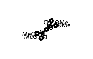 COc1ccc(-c2oc(-c3ccc(-c4nc(-c5ccccc5Cl)c(-c5ccc(OC)c(OC)c5)o4)cc3)nc2-c2ccccc2Cl)cc1OC